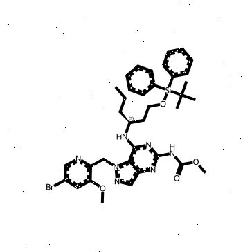 CCC[C@@H](CCO[Si](c1ccccc1)(c1ccccc1)C(C)(C)C)Nc1nc(NC(=O)OC)nc2cnn(Cc3ncc(Br)cc3OC)c12